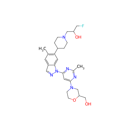 Cc1nc(N2CCOC(CO)C2)cc(-n2ncc3cc(C)c(C4CCN(CC(O)CF)CC4)cc32)n1